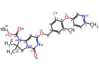 Cc1ccc(Oc2c(F)cc(COc3cc4n(c(=O)n3)CC(C)(C)N4C(=O)OC(C)(C)C)cc2C#N)cn1